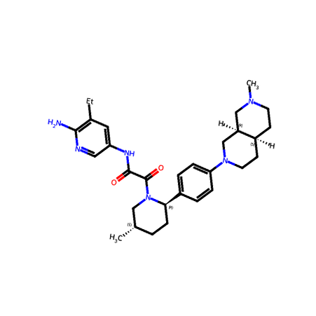 CCc1cc(NC(=O)C(=O)N2C[C@@H](C)CC[C@@H]2c2ccc(N3CC[C@@H]4CCN(C)C[C@@H]4C3)cc2)cnc1N